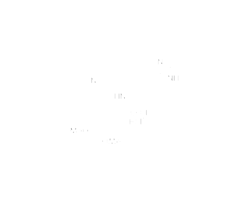 COc1cc(-c2cccnc2)c(C(Nc2ccc(C(=N)N)cc2)C(=O)O)cc1OC.Cl